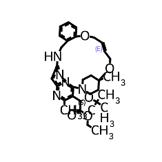 CCOC(=O)[C@@H](OC(C)(C)C)c1c(C)nc2cc3nn2c1N1CCC(C)(CC1)OC/C=C/COc1ccccc1CN3